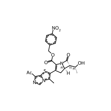 CC(=O)c1ncn2c(C)c(C3=C(C(=O)OCc4ccc([N+](=O)[O-])cc4)N4C(=O)[C@H]([C@@H](C)O)[C@H]4C3)sc12